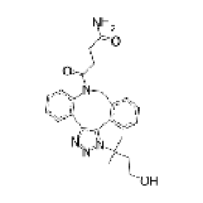 CC(C)(CCO)n1nnc2c1-c1ccccc1CN(C(=O)CCC(N)=O)c1ccccc1-2